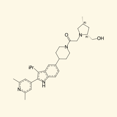 Cc1cc(-c2[nH]c3ccc(C4CCN(C(=O)CN5C[C@H](C)C[C@@H]5CO)CC4)cc3c2C(C)C)cc(C)n1